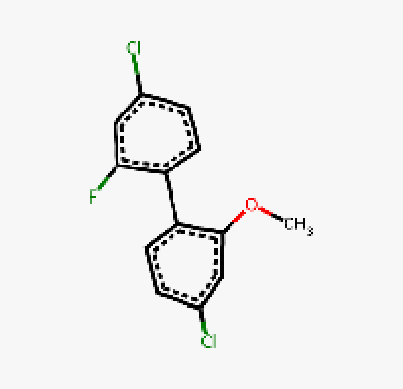 COc1cc(Cl)ccc1-c1ccc(Cl)cc1F